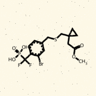 COC(=O)CC1(CSCc2ccc(C(F)(F)P(=O)(O)O)c(Br)c2)CC1